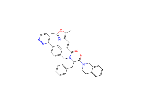 Cc1nc(C=CC(=O)N(Cc2ccc(-c3cccnn3)cc2)C(Cc2ccccc2)C(=O)N2CCc3ccccc3C2)c(C)o1